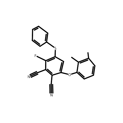 Cc1cccc(Oc2cc(Sc3ccccc3)c(F)c(C#N)c2C#N)c1C